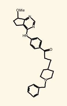 COC1CCc2c(Nc3ccc(C(=O)CCC4CCN(Cc5ccccc5)CC4)cc3)ncnc21